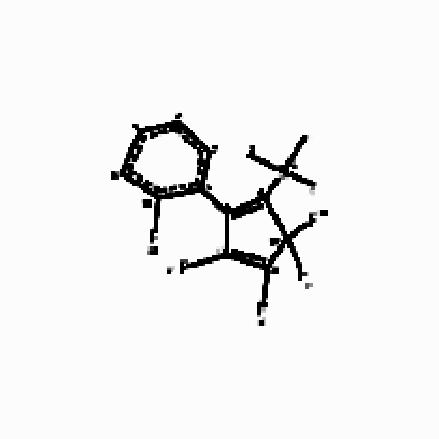 C[Si](C)(C)C1=C(c2ccccc2F)C(F)=C(F)C1(F)F